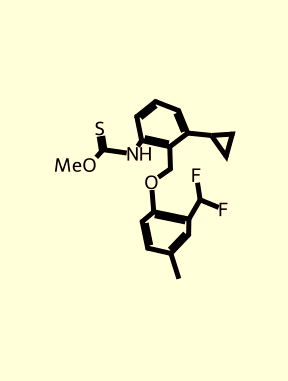 COC(=S)Nc1cccc(C2CC2)c1COc1ccc(C)cc1C(F)F